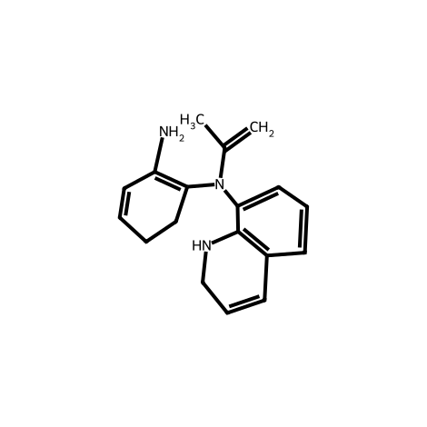 C=C(C)N(C1=C(N)C=CCC1)c1cccc2c1NCC=C2